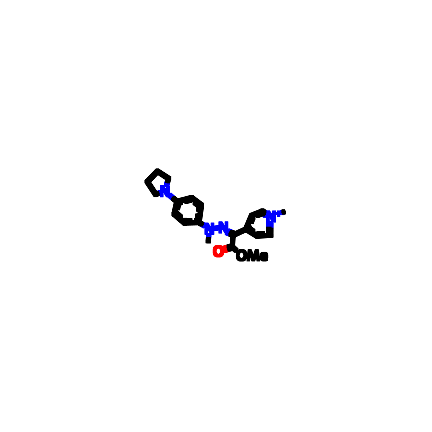 COC(=O)/C(=N\N(C)c1ccc(N2CCCC2)cc1)c1cc[n+](C)cc1